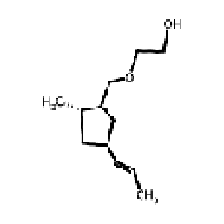 C/C=C/C1CC(COCCO)[C@@H](C)C1